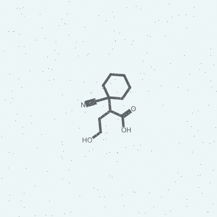 N#CC1(C(CCO)C(=O)O)CCCCC1